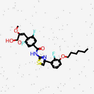 CCCCCCOc1cccc(-c2csc(NC(=O)c3cc(F)c(/C=C(/OC)C(=O)O)c(F)c3)n2)c1F